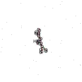 C=CC(=O)OCCCCOCC(CCC(=O)CCOC(=O)C=C)COc1ccc(C(=O)OCCc2ccc(OC(=O)c3ccc(OCC(COCCCCOC(=O)C=C)OC(=O)CCOC(=O)C=C)cc3)c(/C=N/NC3=C=CCc4ccccc4S3)c2)cc1